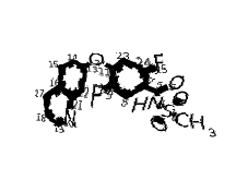 CS(=O)(=O)NC(=O)c1cc(F)c(Oc2ccc3cccnc3c2)cc1F